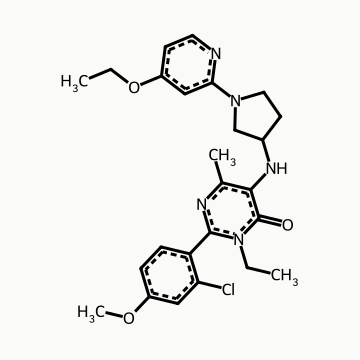 CCOc1ccnc(N2CCC(Nc3c(C)nc(-c4ccc(OC)cc4Cl)n(CC)c3=O)C2)c1